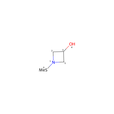 CSN1CC(O)C1